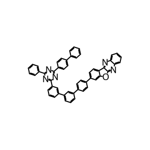 c1ccc(-c2ccc(-c3nc(-c4ccccc4)nc(-c4cccc(-c5cccc(-c6ccc(-c7ccc8c(c7)oc7nc9ccccc9nc78)cc6)c5)c4)n3)cc2)cc1